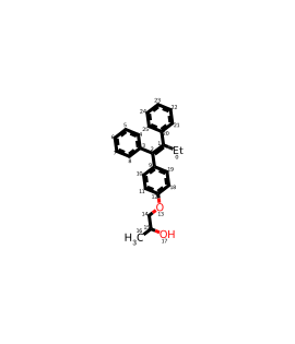 CC/C(=C(/c1ccccc1)c1ccc(OCC(C)O)cc1)c1ccccc1